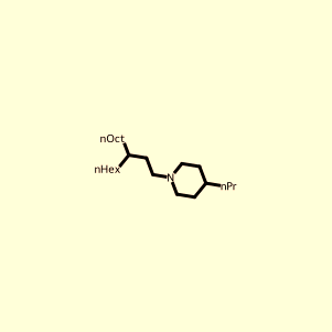 CCCCCCCCC(CCCCCC)CCN1CCC(CCC)CC1